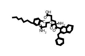 CCCCCCCc1ccc(C[C@@H](CC(N)=O)OC(=O)[C@](N)(CCCC(=O)O)C(=O)c2cc3ccccc3cc2Cc2ccccc2)cc1